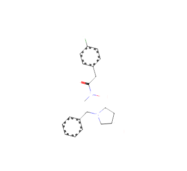 O=C(Cc1ccc(Cl)cc1)N(O)C[C@@H](c1ccccc1)N1CC[C@H](O)C1